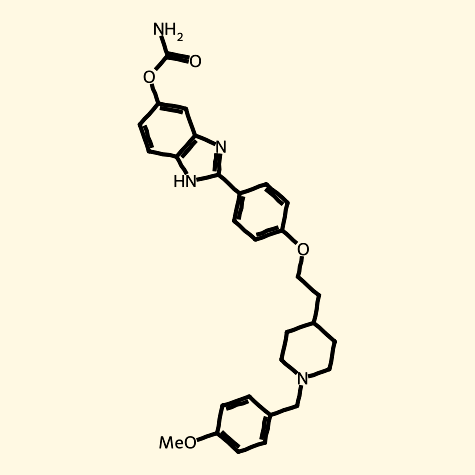 COc1ccc(CN2CCC(CCOc3ccc(-c4nc5cc(OC(N)=O)ccc5[nH]4)cc3)CC2)cc1